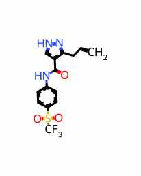 C=CCc1n[nH]cc1C(=O)Nc1ccc(S(=O)(=O)C(F)(F)F)cc1